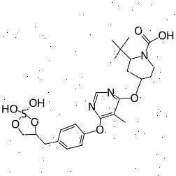 Cc1c(Oc2ccc(CC3COS(O)(O)O3)cc2)ncnc1OC1CCN(C(=O)O)C(C(C)(C)C)C1